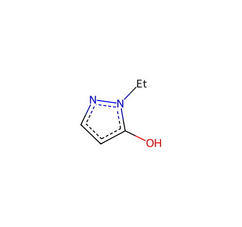 CCn1nccc1O